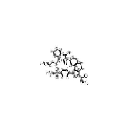 NC(=O)c1nn(-c2ccc(S(N)(=O)=O)cc2)c2c1CCc1ccc(NC(=O)c3cccnc3NCCCO)cc1-2